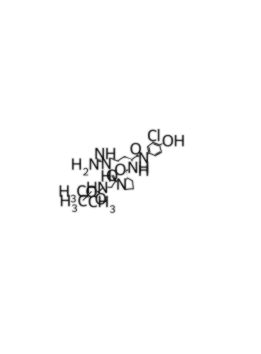 CC(C)(C)OC(=O)NCC(=O)N1CCC[C@H]1C(=O)N[C@@H](CCCNC(=N)N)C(=O)Nc1ccc(O)c(Cl)c1